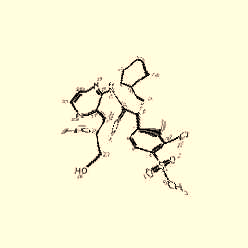 CS(=O)(=O)c1ccc([C@@H](CC2CCCC2)C(=O)Nc2nccnc2C[C@@H](O)CO)cc1Cl